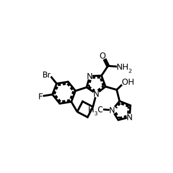 Cn1cncc1C(O)c1c(C(N)=O)nc2n1C1CC(C1)c1cc(F)c(Br)cc1-2